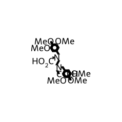 COc1cc(CN(CCN(CC(=O)O)Cc2cc(OC)c(OC)c(OC)c2)CC(=O)O)cc(OC)c1OC